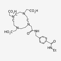 CCNC(=O)c1ccc(CNC(=O)CN2CCN(CC(=O)O)CCN(CC(=O)O)CCN(CC(=O)O)CC2)cc1